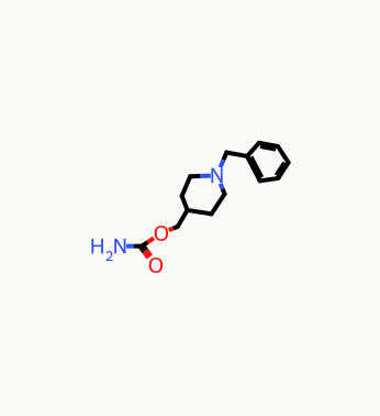 NC(=O)OCC1CCN(Cc2ccccc2)CC1